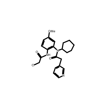 COc1ccc(NC(=O)CCl)c(N(C(=O)Cc2cccnc2)C2CCCCC2)c1